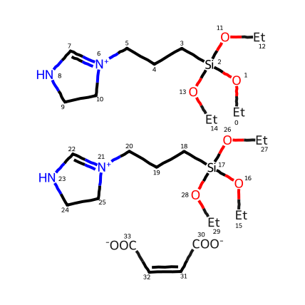 CCO[Si](CCC[N+]1=CNCC1)(OCC)OCC.CCO[Si](CCC[N+]1=CNCC1)(OCC)OCC.O=C([O-])/C=C\C(=O)[O-]